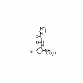 O=C(O)Nc1ccc(Br)cc1NC(=O)CC(=O)N1C=CC=NC1